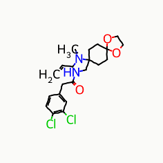 C=CCN(C)C1(CNC(=O)Cc2ccc(Cl)c(Cl)c2)CCC2(CC1)OCCO2